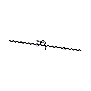 CCCCCCCC/C=C/CCCCCCCCNC(=O)CC(/C=C/CCCCCCCCCCCCCC)C(=O)O